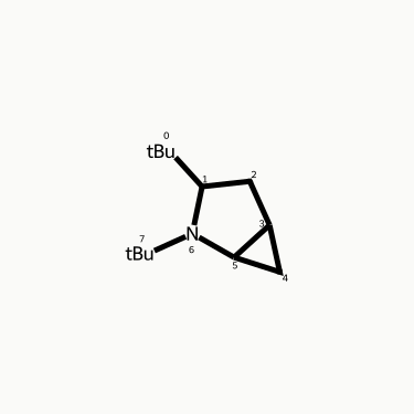 CC(C)(C)C1CC2CC2N1C(C)(C)C